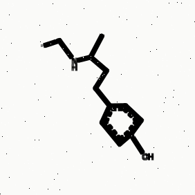 [CH2]CNC(C)CCc1ccc(O)cc1